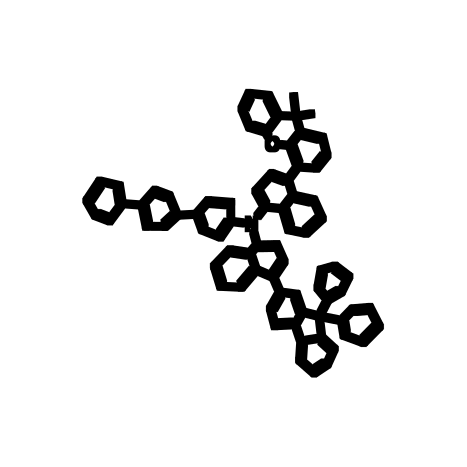 CC1(C)c2ccccc2Oc2c(-c3ccc(N(c4ccc(-c5ccc(-c6ccccc6)cc5)cc4)c4ccc(-c5ccc6c(c5)C(c5ccccc5)(c5ccccc5)c5ccccc5-6)c5ccccc45)c4ccccc34)cccc21